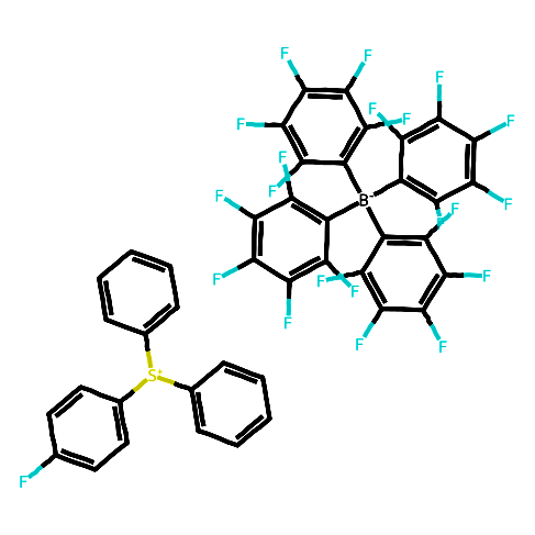 Fc1c(F)c(F)c([B-](c2c(F)c(F)c(F)c(F)c2F)(c2c(F)c(F)c(F)c(F)c2F)c2c(F)c(F)c(F)c(F)c2F)c(F)c1F.Fc1ccc([S+](c2ccccc2)c2ccccc2)cc1